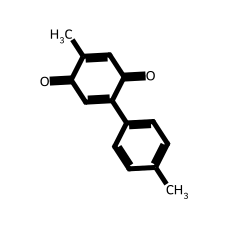 CC1=CC(=O)C(c2ccc(C)cc2)=CC1=O